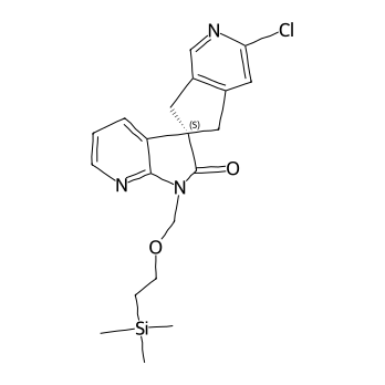 C[Si](C)(C)CCOCN1C(=O)[C@@]2(Cc3cnc(Cl)cc3C2)c2cccnc21